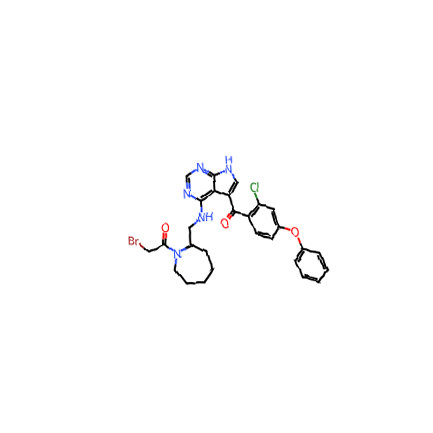 O=C(c1ccc(Oc2ccccc2)cc1Cl)c1c[nH]c2ncnc(NCC3CCCCCN3C(=O)CBr)c12